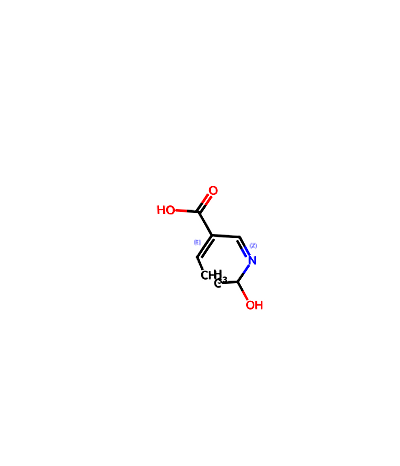 C/C=C(\C=N/C(C)O)C(=O)O